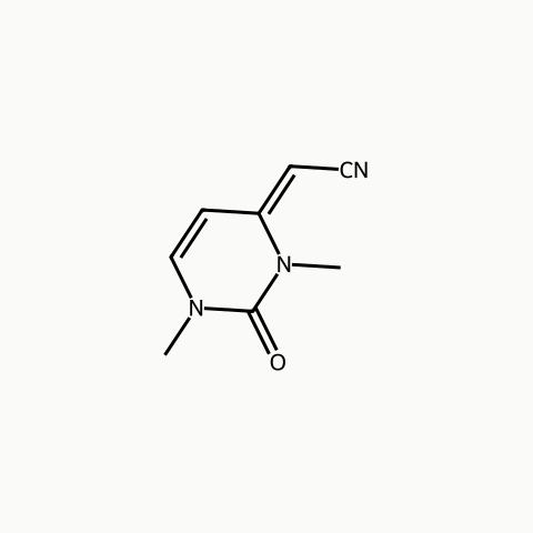 CN1C=CC(=CC#N)N(C)C1=O